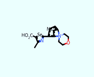 Cc1nc(-c2ccc3c(C#N)c2[N+]32CCOCC2)[se]c1C(=O)O